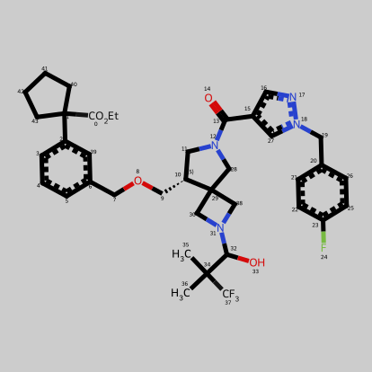 CCOC(=O)C1(c2cccc(COC[C@@H]3CN(C(=O)c4cnn(Cc5ccc(F)cc5)c4)CC34CN(C(O)C(C)(C)C(F)(F)F)C4)c2)CCCC1